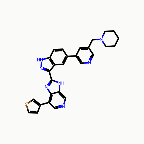 c1cc(-c2cncc3[nH]c(-c4n[nH]c5ccc(-c6cncc(CN7CCCCC7)c6)cc45)nc23)cs1